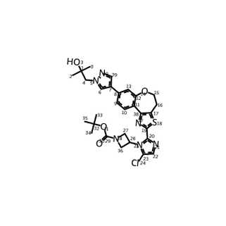 CC(C)(O)Cn1cc(-c2ccc3c(c2)OCCc2sc(-c4ncc(Cl)n4C4CN(C(=O)OC(C)(C)C)C4)nc2-3)cn1